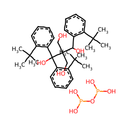 CC(C)(C)c1ccccc1C(O)C(CO)(CO)C(O)(c1ccccc1C(C)(C)C)c1ccccc1C(C)(C)C.OP(O)OP(O)O